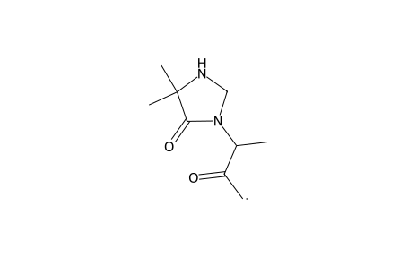 [CH2]C(=O)C(C)N1CNC(C)(C)C1=O